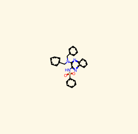 O=S(=O)(Nc1nc2ccccc2nc1N(Cc1ccccc1)Cc1ccccc1)c1ccccc1